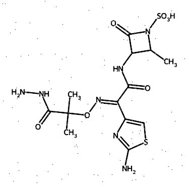 CC1C(NC(=O)/C(=N/OC(C)(C)C(=O)NN)c2csc(N)n2)C(=O)N1S(=O)(=O)O